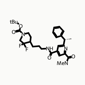 CNC(=O)c1cc(C(=O)NCCCC2CCN(C(=O)OC(C)(C)C)CC2(F)F)cc([C@@H](C)c2ccccc2)n1